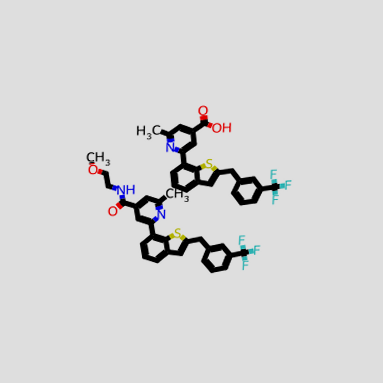 COCCNC(=O)c1cc(C)nc(-c2cccc3cc(Cc4cccc(C(F)(F)F)c4)sc23)c1.Cc1cc(C(=O)O)cc(-c2cccc3cc(Cc4cccc(C(F)(F)F)c4)sc23)n1